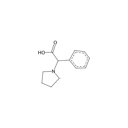 O=C(O)C(c1ccccc1)N1[CH]CCC1